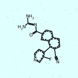 N#Cc1ccc2ccc(C(=O)N=C(N)N)cc2c1-c1ccncc1F